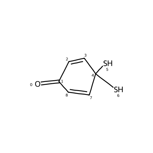 O=C1C=CC(S)(S)C=C1